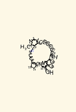 Cc1nccc2c1/C=C\CCCC1(CCCC1)Cn1cc(O)c(=O)c(n1)C(=O)NCCCCCC2